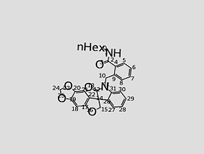 CCCCCCNC(=O)c1ccccc1CN1C(=O)C2(COc3cc4c(cc32)OCO4)c2ccccc21